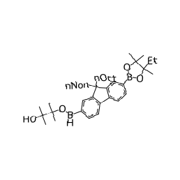 CCCCCCCCCC1(CCCCCCCC)c2cc(BOC(C)(C)C(C)(C)O)ccc2-c2ccc(B3OC(C)(C)C(C)(CC)O3)cc21